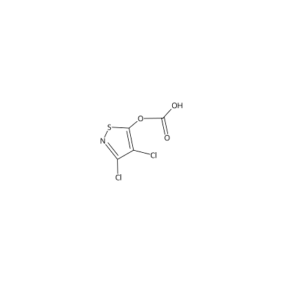 O=C(O)Oc1snc(Cl)c1Cl